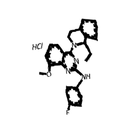 CCC1c2ccccc2CCN1c1nc(Nc2ccc(F)cc2)nc2c(OC)cccc12.Cl